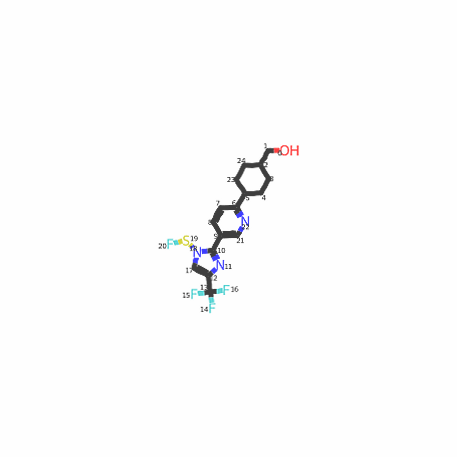 OCC1CCC(c2ccc(-c3nc(C(F)(F)F)cn3SF)cn2)CC1